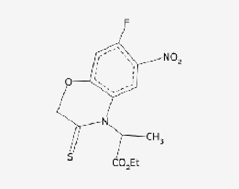 CCOC(=O)C(C)N1C(=S)COc2cc(F)c([N+](=O)[O-])cc21